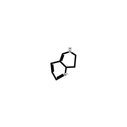 C1=CC2=CNCCC2[N+]=C1